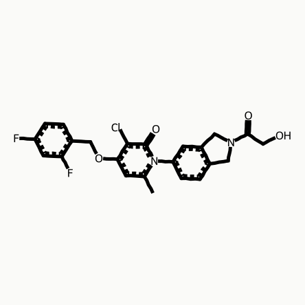 Cc1cc(OCc2ccc(F)cc2F)c(Cl)c(=O)n1-c1ccc2c(c1)CN(C(=O)CO)C2